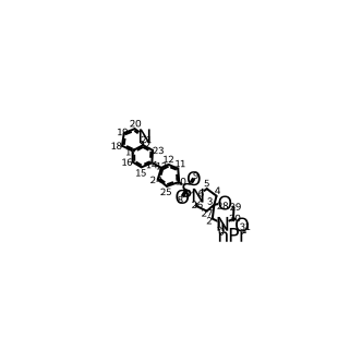 CCCN1CC2(CCN(S(=O)(=O)c3ccc(-c4ccc5cccnc5c4)cc3)CC2)OCC1=O